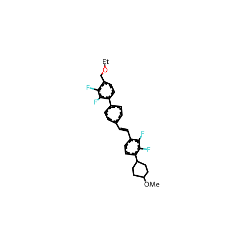 CCOCc1ccc(-c2ccc(/C=C/c3ccc(C4CCC(OC)CC4)c(F)c3F)cc2)c(F)c1F